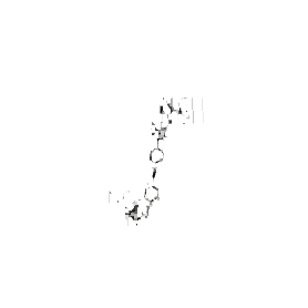 C[C@H](O)c1nccn1Cc1cc(-c2ccc(C#Cc3ccc(Cn4cnnc4CC#N)cc3)cc2)on1